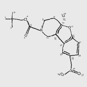 CC(C)(C)OC(=O)N1CCc2oc3ccc(S(=O)[O-])cc3c2C1.[Li+]